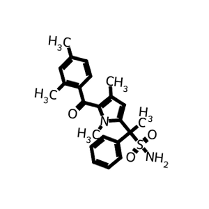 Cc1ccc(C(=O)c2c(C)cc(C(C)(c3ccccc3)S(N)(=O)=O)n2C)c(C)c1